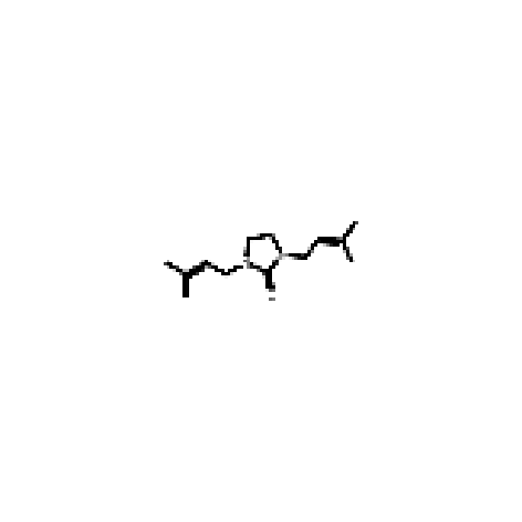 CC(C)=CCN1CCN(CC=C(C)C)C1=O